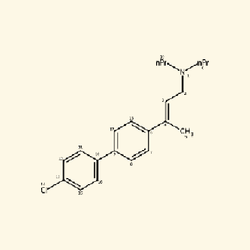 CCCN(CC=C(C)c1ccc(-c2ccc(Cl)cc2)cc1)CCC